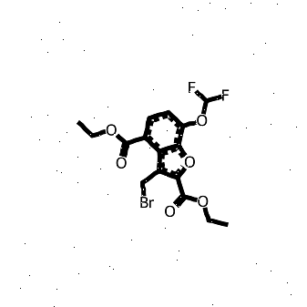 CCOC(=O)c1oc2c(OC(F)F)ccc(C(=O)OCC)c2c1CBr